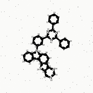 c1ccc(-c2nc(-c3ccccc3)nc(-c3cccc(-n4c5ccccc5c5c6sc7cncnc7c6ccc54)c3)n2)cc1